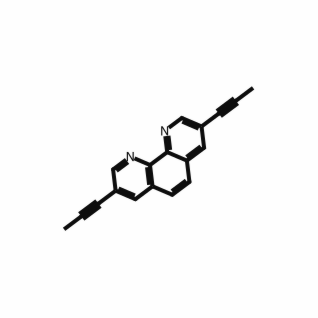 CC#Cc1cnc2c(ccc3cc(C#CC)cnc32)c1